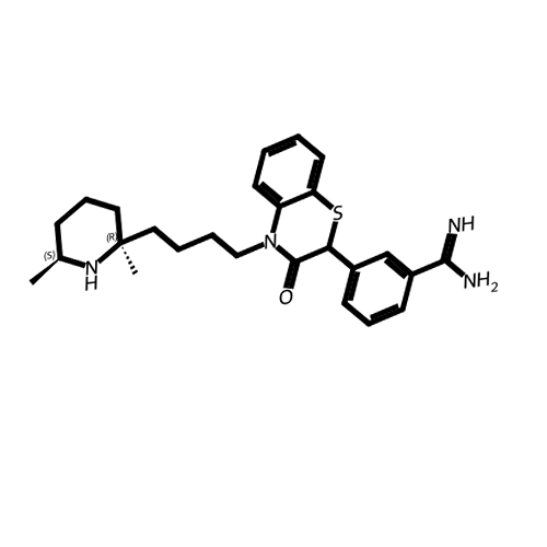 C[C@H]1CCC[C@@](C)(CCCCN2C(=O)C(c3cccc(C(=N)N)c3)Sc3ccccc32)N1